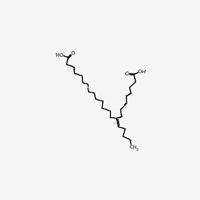 CCCC/C=C(/CCCCCCCCCCCCCC(=O)O)CCCCCCCC(=O)O